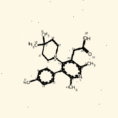 Cc1nc(C)c(-c2ccc(O)cc2)c(N2CCC(C)(C)CC2)c1CC(=O)O